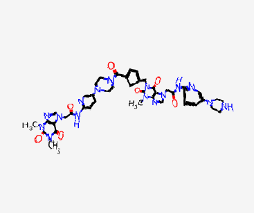 Cn1c(=O)c2c(ncn2CC(=O)Nc2ccc(N3CCN(C(=O)c4ccc(Cn5c(=O)c6c(ncn6CC(=O)Nc6ccc(N7CCNCC7)cn6)n(C)c5=O)cc4)CC3)cn2)n(C)c1=O